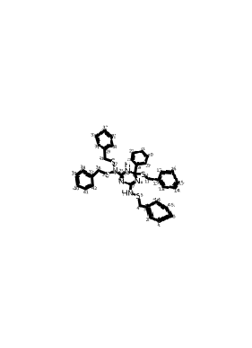 c1ccc(CSNC2=NC(SCc3ccccc3)(c3ccccc3)NC(N(SCc3ccccc3)SCc3ccccc3)=N2)cc1